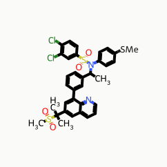 CSc1ccc(N(C(C)c2cccc(-c3cc(C(C)(C)S(C)(=O)=O)cc4cccnc34)c2)S(=O)(=O)c2ccc(Cl)c(Cl)c2)cc1